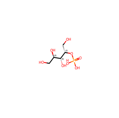 O=P(O)(O)O[C@@H](CO)[C@H](O)[C@H](O)CO